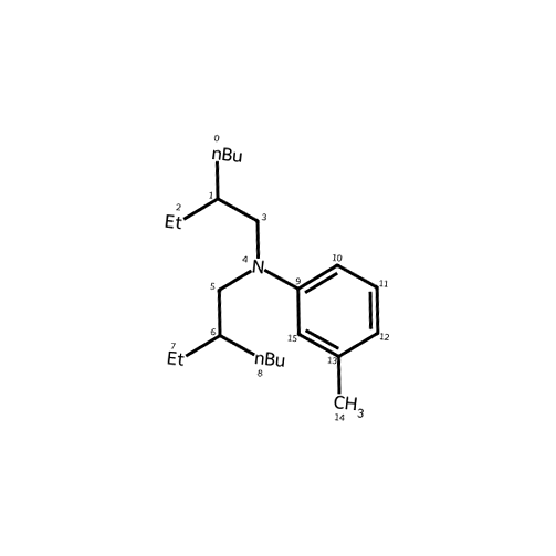 CCCCC(CC)CN(CC(CC)CCCC)c1cccc(C)c1